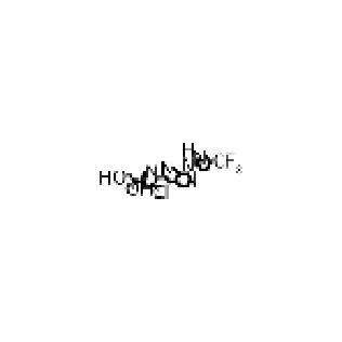 OC[C@H](O)c1cnc(-c2cc3ccnc(Nc4ccc(C(F)(F)F)cn4)c3cn2)c(Cl)c1